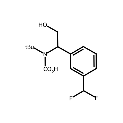 CC(C)(C)N(C(=O)O)C(CO)c1cccc(C(F)F)c1